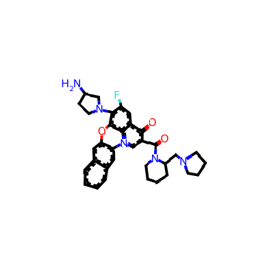 NC1CCN(c2c(F)cc3c(=O)c(C(=O)N4CCCCC4CN4CCCC4)cn4c3c2Oc2cc3ccccc3cc2-4)C1